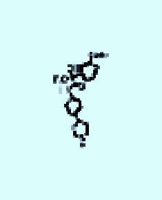 COc1cccc(C(O)(C(=O)Nc2ccc(C3CCNCC3)cc2)C(F)(F)F)c1